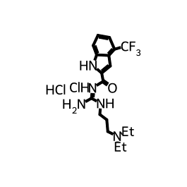 CCN(CC)CCCNC(N)=NC(=O)c1cc2c(C(F)(F)F)cccc2[nH]1.Cl.Cl